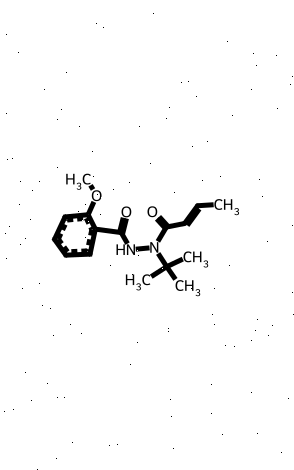 CC=CC(=O)N(NC(=O)c1ccccc1OC)C(C)(C)C